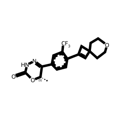 C[C@@H]1OC(=O)NN=C1c1ccc(C2=CC3(CCOCC3)C2)c(C(F)(F)F)c1